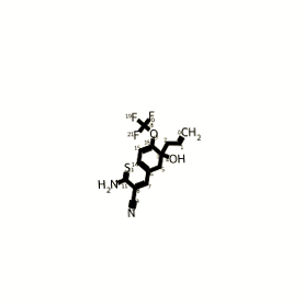 C=CCC1(O)CC(C=C(C#N)C(N)=S)=CC=C1OC(F)(F)F